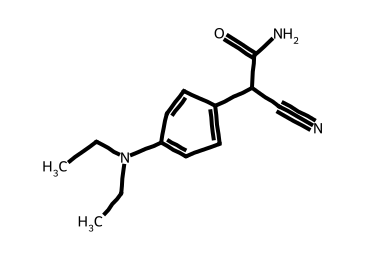 CCN(CC)c1ccc(C(C#N)C(N)=O)cc1